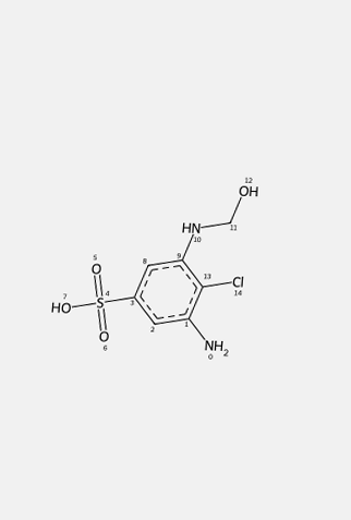 Nc1cc(S(=O)(=O)O)cc(NCO)c1Cl